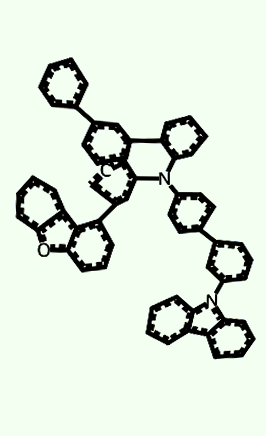 c1ccc(-c2cccc(-c3ccccc3N(c3ccc(-c4cccc(-n5c6ccccc6c6ccccc65)c4)cc3)c3cccc(-c4cccc5oc6ccccc6c45)c3)c2)cc1